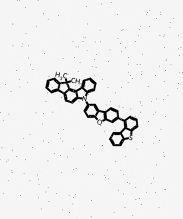 CC1(C)c2ccccc2-c2ccc3c(c21)c1ccccc1n3-c1ccc2oc3cc(-c4cccc5sc6ccccc6c45)ccc3c2c1